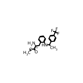 COC(=O)[C@@H](N)Cc1ccccc1NC(C)c1ccc(C(F)(F)F)cc1